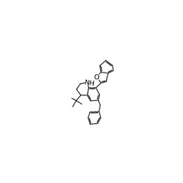 CC(C)(C)C1CCNc2c(-c3cc4ccccc4o3)cc(Cc3ccccc3)cc21